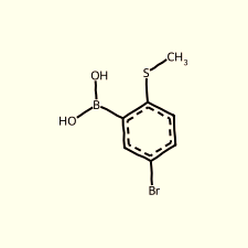 CSc1ccc(Br)cc1B(O)O